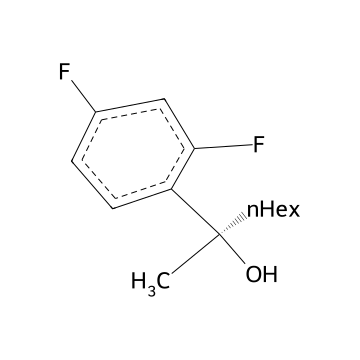 CCCCCC[C@@](C)(O)c1ccc(F)cc1F